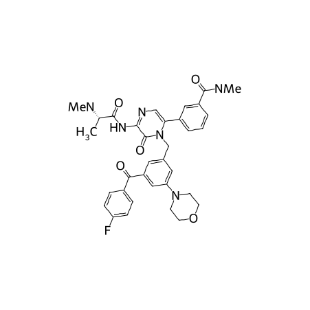 CNC(=O)c1cccc(-c2cnc(NC(=O)[C@H](C)NC)c(=O)n2Cc2cc(C(=O)c3ccc(F)cc3)cc(N3CCOCC3)c2)c1